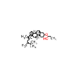 CCC(O)O[C@H]1CC[C@@]2(C)C(=CC[C@H]3[C@@H]4CC[C@H]([C@H](C)CC[C@@H](C)C(C)C)[C@@]4(C)CC[C@@H]32)C1